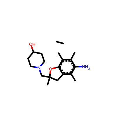 CC.Cc1c(C)c2c(c(C)c1N)CC(C)(CN1CCC(O)CC1)O2